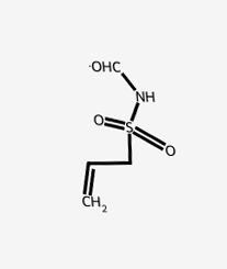 C=CCS(=O)(=O)N[C]=O